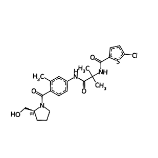 Cc1cc(NC(=O)C(C)(C)NC(=O)c2ccc(Cl)s2)ccc1C(=O)N1CCC[C@H]1CO